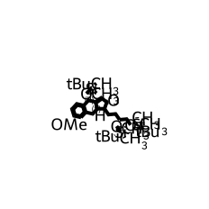 COc1cccc2c1C[C@@H]1C(=CC(=O)C1CCC(CO[Si](C)(C)C(C)(C)C)O[Si](C)(C)C(C)(C)C)[C@H]2O[Si](C)(C)C(C)(C)C